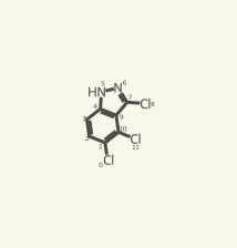 Clc1ccc2[nH]nc(Cl)c2c1Cl